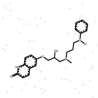 CN(CCC[S+]([O-])c1ccccc1)CC(O)COc1ccc2[nH]c(=O)ccc2c1